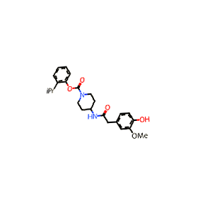 COc1cc(CC(=O)NC2CCN(C(=O)Oc3ccccc3C(C)C)CC2)ccc1O